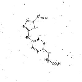 N#CSc1cnc(Nc2ccc(CNC(=O)O)cn2)s1